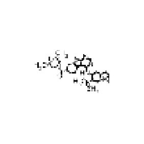 C[C@H]1CN(C(=O)[C@H]2CCc3c(sc4ncnc(Nc5cc6ccnn6cc5N(C)C)c34)C2)C[C@H](C)O1